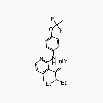 CCC/C=C(\c1c(C)ccnc1Nc1ccc(OC(C)(F)F)cc1)C(CC)CC